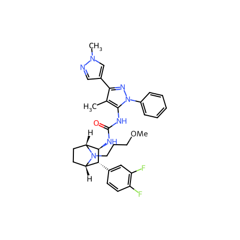 COCCCN1[C@@H]2CC[C@H]1[C@@H](c1ccc(F)c(F)c1)[C@@H]2NC(=O)Nc1c(C)c(-c2cnn(C)c2)nn1-c1ccccc1